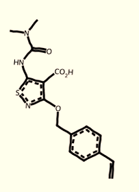 C=Cc1ccc(COc2nsc(NC(=O)N(C)C)c2C(=O)O)cc1